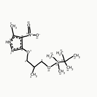 Cc1[nH]nc(OCC(C)CO[Si](C)(C)C(C)(C)C)c1[N+](=O)[O-]